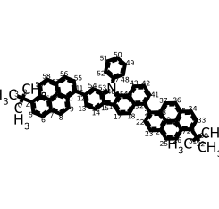 CC(C)(C)c1ccc2ccc3c(-c4ccc5c6ccc7c(-c8ccc9ccc%10c(C(C)(C)C)ccc%11ccc8c9c%11%10)cccc7c6n(-c6ccccc6)c5c4)ccc4ccc1c2c43